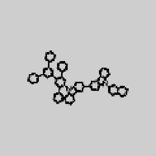 c1ccc(-c2cc(-c3ccccc3)cc(-c3cc(-c4ccccc4)c(-n4c5ccccc5c5cc(-c6ccc7c(c6)c6ccccc6n7-c6ccc7ccccc7c6)ccc54)cc3-c3ccccc3)c2)cc1